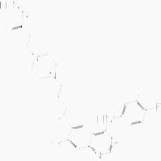 COc1cc2ncnc(Nc3ccc(F)c(Cl)c3)c2cc1OCCCN1CCN(CCC(=O)NN)CC1